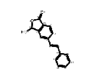 O=C1OC(O)c2cc(/C=C/c3ccccc3)ccc21